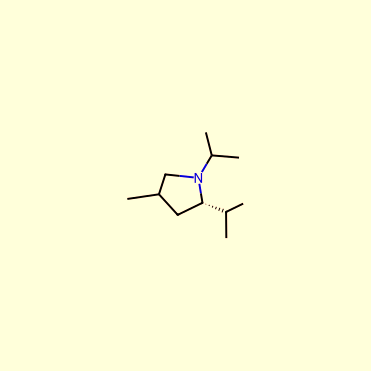 CC1C[C@@H](C(C)C)N(C(C)C)C1